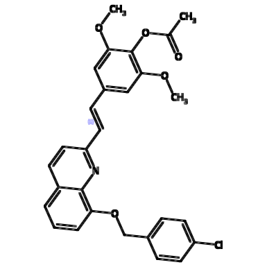 COc1cc(/C=C/c2ccc3cccc(OCc4ccc(Cl)cc4)c3n2)cc(OC)c1OC(C)=O